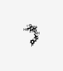 Cc1nc(NCc2cnn(Cc3cccc(F)c3)c2)nc2c1NC(=O)C([C@@H](C)O)N2C